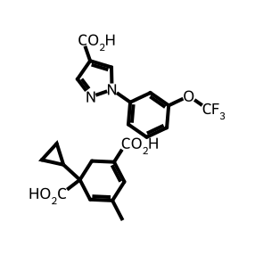 CC1=CC(C(=O)O)(C2CC2)CC(C(=O)O)=C1.O=C(O)c1cnn(-c2cccc(OC(F)(F)F)c2)c1